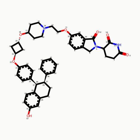 O=C1CCC(N2Cc3ccc(OCCN4CCC(O[C@H]5C[C@H](Oc6ccc([C@@H]7c8ccc(O)cc8CC[C@@H]7c7ccccc7)cc6)C5)CC4)cc3C2=O)C(=O)N1